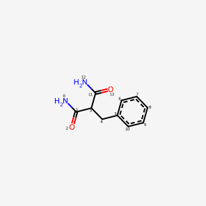 NC(=O)C(Cc1ccccc1)C(N)=O